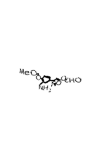 COCOc1ccc(-c2cc(OC=O)on2)cc1CN